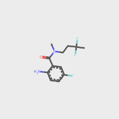 CN(CCC(C)(F)F)C(=O)c1cc(F)ccc1N